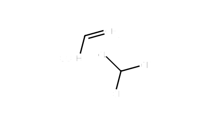 C=CC(=O)O.ClC(Cl)Cl